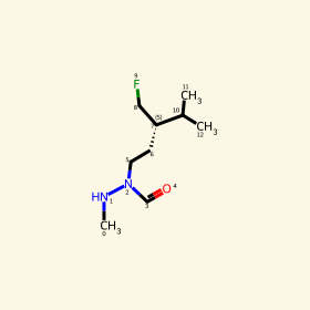 CNN(C=O)CC[C@H](CF)C(C)C